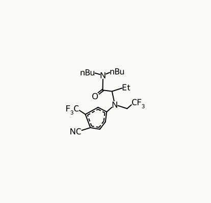 CCCCN(CCCC)C(=O)C(CC)N(CC(F)(F)F)c1ccc(C#N)c(C(F)(F)F)c1